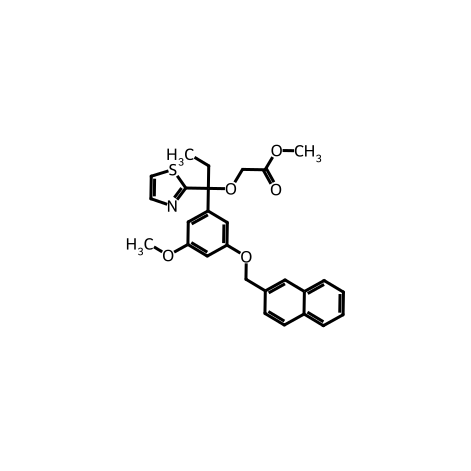 CCC(OCC(=O)OC)(c1cc(OC)cc(OCc2ccc3ccccc3c2)c1)c1nccs1